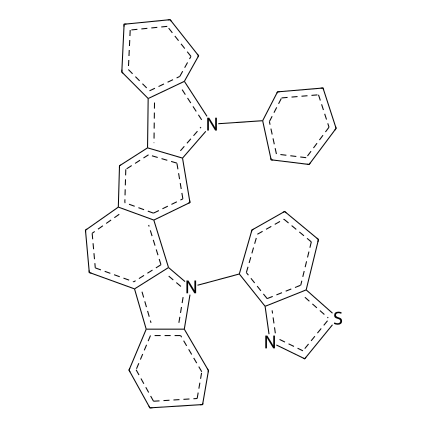 c1ccc(-n2c3ccccc3c3cc4ccc5c6ccccc6n(-c6cccc7scnc67)c5c4cc32)cc1